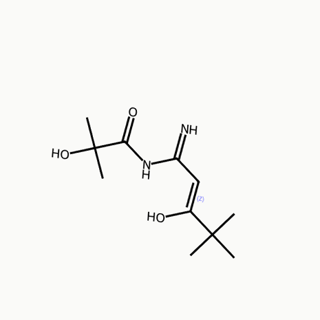 CC(C)(O)C(=O)NC(=N)/C=C(\O)C(C)(C)C